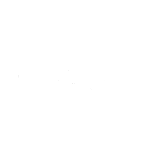 Cc1c(OCC(F)(F)F)ccnc1C[S+]([O-])c1nc2ccccc2n1C(=O)N(C)CCOC(=O)c1ccccn1